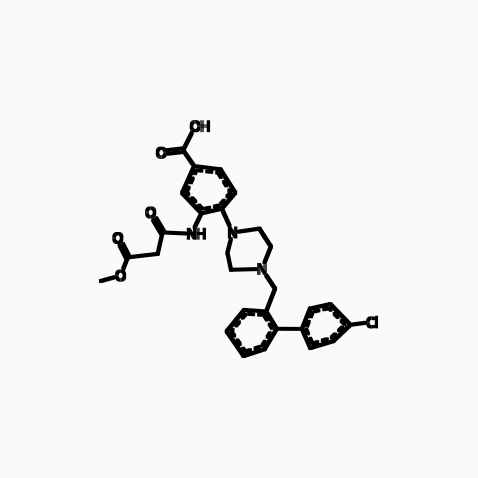 COC(=O)CC(=O)Nc1cc(C(=O)O)ccc1N1CCN(Cc2ccccc2-c2ccc(Cl)cc2)CC1